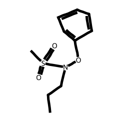 CCCN(Oc1ccccc1)S(C)(=O)=O